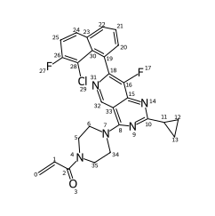 C=CC(=O)N1CCN(c2nc(C3CC3)nc3c(F)c(-c4cccc5ccc(F)c(Cl)c45)ncc23)CC1